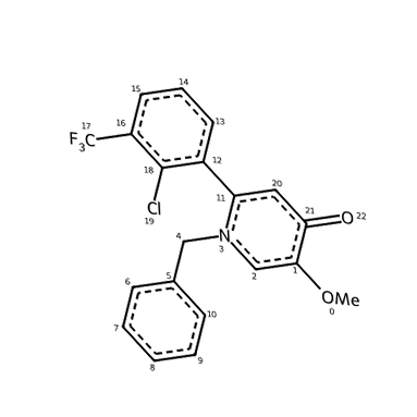 COc1cn(Cc2ccccc2)c(-c2cccc(C(F)(F)F)c2Cl)cc1=O